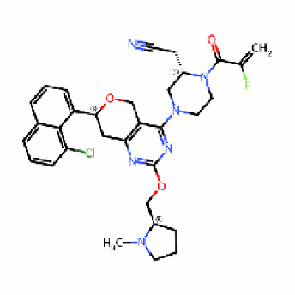 C=C(F)C(=O)N1CCN(c2nc(OC[C@H]3CCCN3C)nc3c2CO[C@H](c2cccc4cccc(Cl)c24)C3)C[C@@H]1CC#N